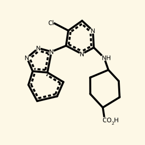 O=C(O)C1CCC(Nc2ncc(Cl)c(-n3nnc4ccccc43)n2)CC1